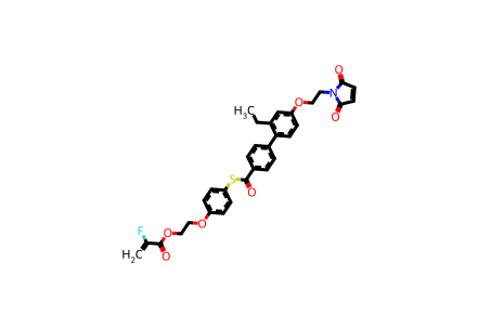 C=C(F)C(=O)OCCOc1ccc(SC(=O)c2ccc(-c3ccc(OCCN4C(=O)C=CC4=O)cc3CC)cc2)cc1